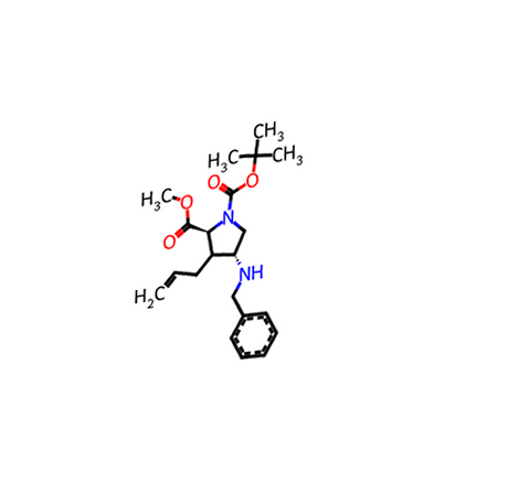 C=CCC1[C@@H](NCc2ccccc2)CN(C(=O)OC(C)(C)C)[C@@H]1C(=O)OC